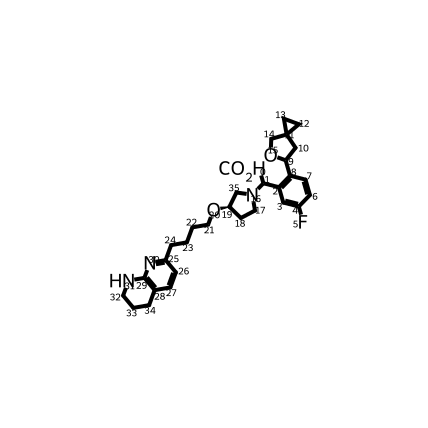 O=C(O)C(c1cc(F)ccc1C1CC2(CC2)CO1)N1CC[C@@H](OCCCCc2ccc3c(n2)NCCC3)C1